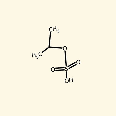 CC(C)OS(=O)(=O)O